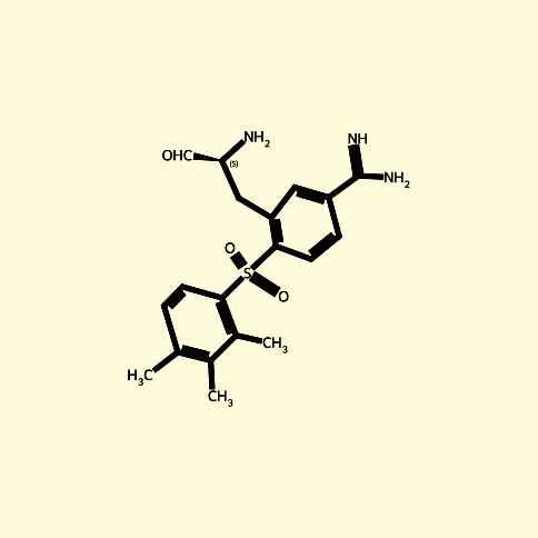 Cc1ccc(S(=O)(=O)c2ccc(C(=N)N)cc2C[C@H](N)C=O)c(C)c1C